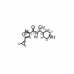 CC(NC(=O)c1cc(C2CC2)on1)C1CCNCC1